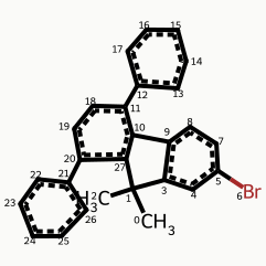 CC1(C)c2cc(Br)ccc2-c2c(-c3ccccc3)ccc(-c3ccccc3)c21